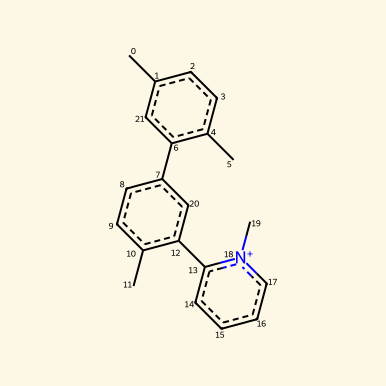 Cc1ccc(C)c(-c2ccc(C)c(-c3cccc[n+]3C)c2)c1